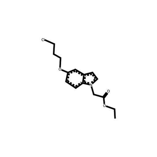 CCOC(=O)Cn1ccc2cc(OCCCCl)ccc21